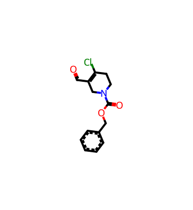 O=CC1=C(Cl)CCN(C(=O)OCc2ccccc2)C1